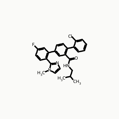 CC(C)CNC(=O)c1cc(-c2cc(F)ccc2-c2nccn2C)ccc1-c1ccccc1Cl